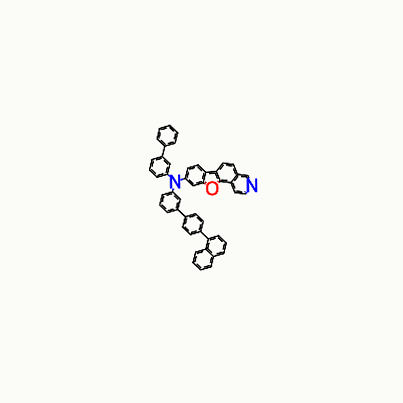 c1ccc(-c2cccc(N(c3cccc(-c4ccc(-c5cccc6ccccc56)cc4)c3)c3ccc4c(c3)oc3c5ccncc5ccc43)c2)cc1